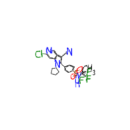 C[C@@H](NS(=O)(=O)c1ccc(-c2c(C#N)c3cnc(Cl)cc3n2C2CCCC2)cc1)C(F)(F)F